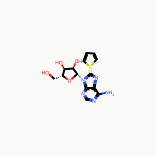 Nc1ncnc2c1nc([SH]1C=CC=C1)n2[C@@H]1O[C@H](CO)[C@@H](O)[C@H]1O